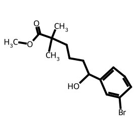 COC(=O)C(C)(C)CCCC(O)c1cccc(Br)c1